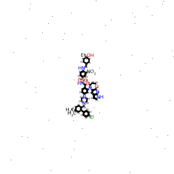 CCC1(O)CCC(CNc2ccc(S(=O)(=O)NC(=O)c3ccc(N4CCN(CC5=C(c6ccc(Cl)cc6)CC(C)(C)CC5)CC4)cc3N3CCCOc4nc5[nH]ccc5cc43)cc2[N+](=O)[O-])CC1